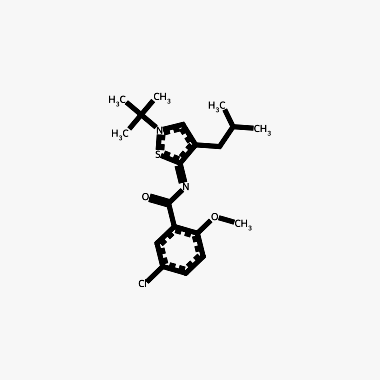 COc1ccc(Cl)cc1C(=O)/N=c1\sn(C(C)(C)C)cc1CC(C)C